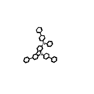 C1=CC(C2C=CC(N(c3ccccc3)c3ccc4c5cc(-c6ccccc6)ccc5n(C5=CC=C(c6ccccc6)CC5)c4c3)=CC2)=CCC1